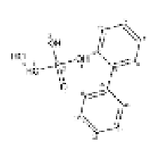 Cl.O=P(O)(O)O.c1ccc(-c2ccccc2)cc1